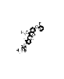 Cc1c(Cc2cccc(N=NS(C)(=O)=O)c2F)c(=O)oc2cc(Oc3ncccc3F)ccc12